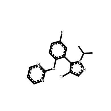 CC(C)n1ncc(Cl)c1-c1cc(F)ccc1Oc1ncccn1